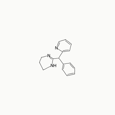 c1ccc(C(C2=NCCCN2)c2ccccn2)cc1